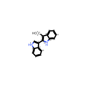 O=C(O)c1c(-c2c[nH]c3ccccc23)[nH]c2ccccc12